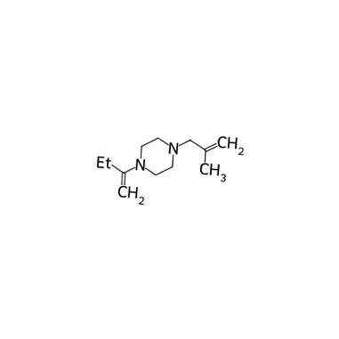 C=C(C)CN1CCN(C(=C)CC)CC1